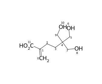 C=C(CCC(CO)(CO)CO)C(=O)O